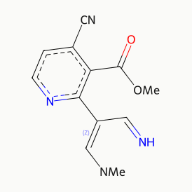 CN/C=C(\C=N)c1nccc(C#N)c1C(=O)OC